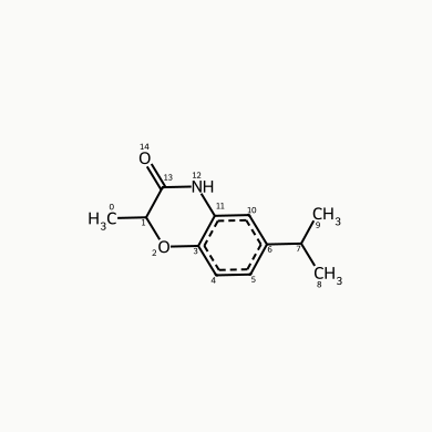 CC1Oc2ccc(C(C)C)cc2NC1=O